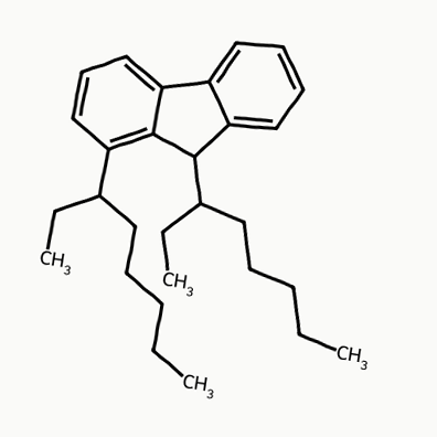 CCCCCC(CC)c1cccc2c1C(C(CC)CCCCC)c1ccccc1-2